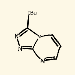 CC(C)(C)c1nnc2ncccn12